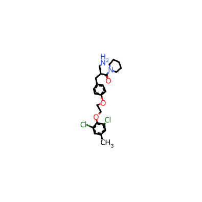 Cc1cc(Cl)c(OCCOc2ccc(CC(CN)C(=O)N3CCCCC3)cc2)c(Cl)c1